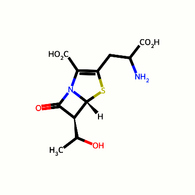 CC(O)[C@H]1C(=O)N2C(C(=O)O)=C(CC(N)C(=O)O)S[C@H]12